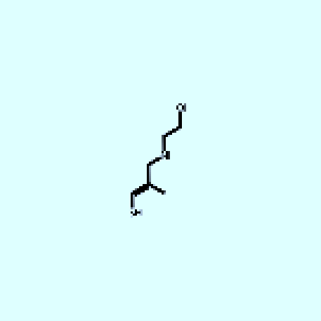 C/C(=C\S)CNCCO